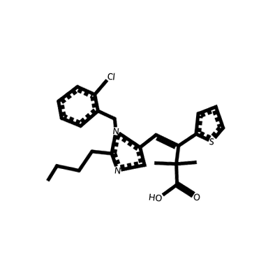 CCCCc1ncc(/C=C(/c2cccs2)C(C)(C)C(=O)O)n1Cc1ccccc1Cl